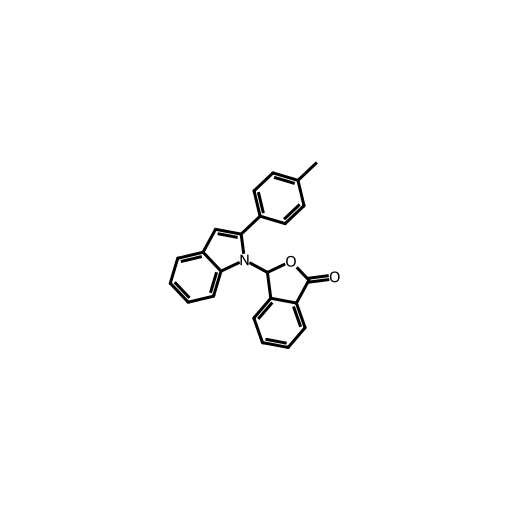 Cc1ccc(-c2cc3ccccc3n2C2OC(=O)c3ccccc32)cc1